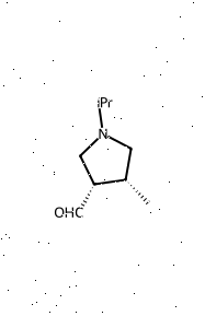 CC(C)N1C[C@@H](C=O)[C@@H](C)C1